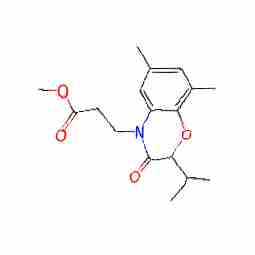 COC(=O)CCN1C(=O)C(C(C)C)Oc2c(C)cc(C)cc21